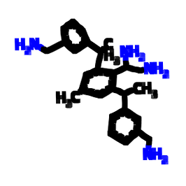 Cc1cc(C(C)c2cccc(CN)c2)c(C(N)CN)c(C(C)c2cccc(CN)c2)c1